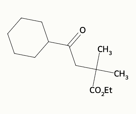 CCOC(=O)C(C)(C)CC(=O)C1CCCCC1